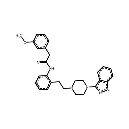 COc1cccc(CC(=O)Nc2ccccc2CCN2CCN(c3nsc4ccccc34)CC2)c1